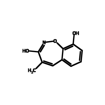 CC1=Cc2cccc(O)c2ON=C1O